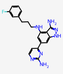 Nc1nccc(-c2cc(NCCCc3cccc(F)c3)c3c(N)n[nH]c3c2)n1